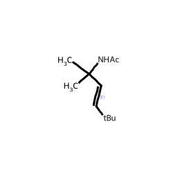 CC(=O)NC(C)(C)/C=C/C(C)(C)C